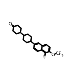 O=C1CCC(C2CCC(c3ccc4c(F)c(OC(F)(F)F)ccc4c3)CC2)CC1